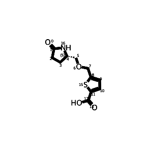 O=C1CC[C@@H](COCc2ccc(C(=O)O)s2)N1